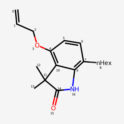 C=CCOc1ccc(CCCCCC)c2c1C(C)(C)C(=O)N2